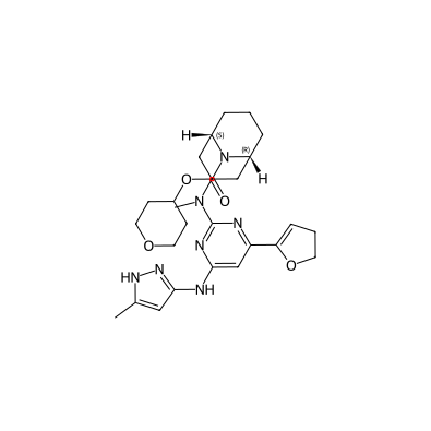 Cc1cc(Nc2cc(C3=CCCO3)nc(N(C)C3C[C@H]4CCC[C@@H](C3)N4C(=O)OC3CCOCC3)n2)n[nH]1